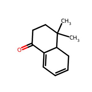 CC1(C)CCC(=O)C2=CC=CCC21